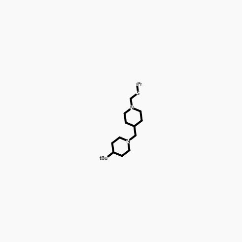 CC(C)SCN1CCC(CN2CCC(C(C)(C)C)CC2)CC1